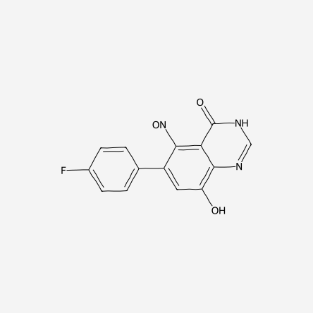 O=Nc1c(-c2ccc(F)cc2)cc(O)c2nc[nH]c(=O)c12